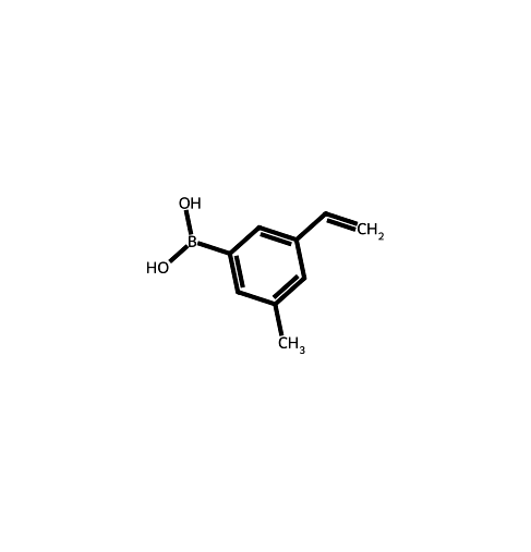 C=Cc1cc(C)cc(B(O)O)c1